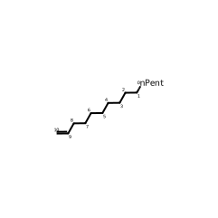 [CH2]CCCCCCCCCCCCC=C